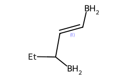 B/C=C/C(B)CC